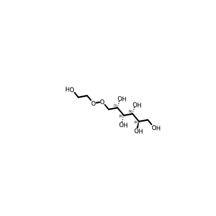 OCCOOC[C@H](O)[C@@H](O)[C@H](O)[C@H](O)CO